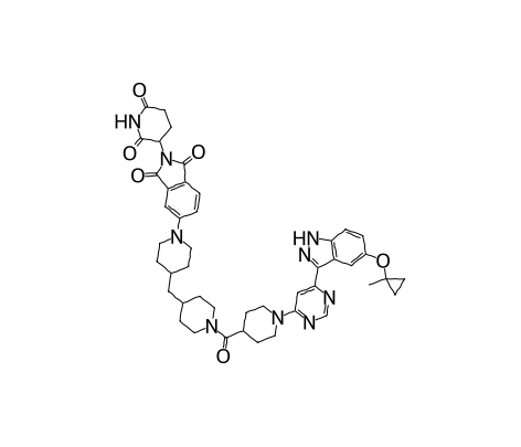 CC1(Oc2ccc3[nH]nc(-c4cc(N5CCC(C(=O)N6CCC(CC7CCN(c8ccc9c(c8)C(=O)N(C8CCC(=O)NC8=O)C9=O)CC7)CC6)CC5)ncn4)c3c2)CC1